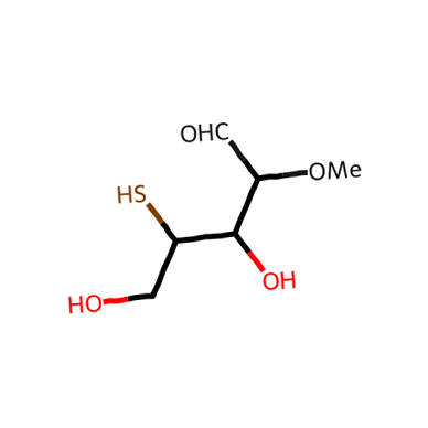 COC(C=O)C(O)C(S)CO